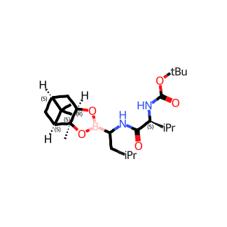 CC(C)CC(NC(=O)[C@@H](NC(=O)OC(C)(C)C)C(C)C)B1O[C@@H]2C[C@@H]3C[C@@H](C3(C)C)[C@]2(C)O1